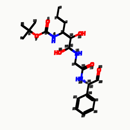 CCCC(NC(=O)OC(C)(C)C)C(O)[C@H](O)NCC(=O)N[C@H](C=O)c1ccccc1